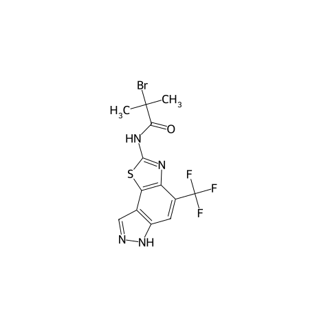 CC(C)(Br)C(=O)Nc1nc2c(C(F)(F)F)cc3[nH]ncc3c2s1